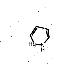 C1=C[NH][Hg][CH]=C1